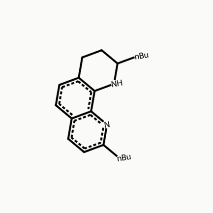 CCCCc1ccc2ccc3c(c2n1)NC(CCCC)CC3